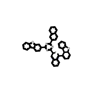 C/C(C1=CC=CC2Oc3ccccc3C12)=c1/cccc/c1=C/C(F)c1nc(-c2ccc3ccccc3c2)nc(-c2ccc3c(c2)oc2ccccc23)n1